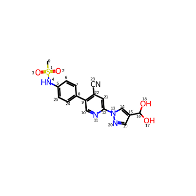 CS(=O)(=O)Nc1ccc(-c2cnc(-n3cc(C(O)O)cn3)cc2C#N)cc1